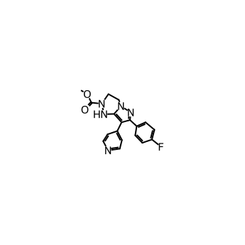 COC(=O)N1CCn2nc(-c3ccc(F)cc3)c(-c3ccncc3)c2N1